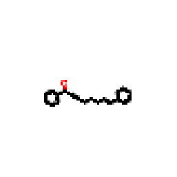 O=C(C#CCCCC=Cc1ccccc1)c1ccccc1